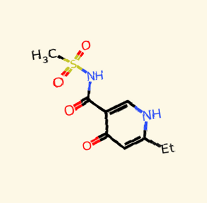 CCc1cc(=O)c(C(=O)NS(C)(=O)=O)c[nH]1